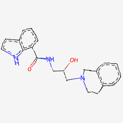 O=C(NCC(O)CN1CCc2ccccc2C1)c1cccc2cc[nH]c12